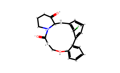 O=C1CCCN2C(=O)CCOc3ccccc3-c3cccc(c3F)CC12